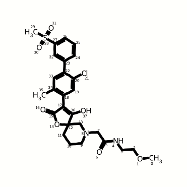 COCCNC(=O)CN1CCCC2(C1)OC(=O)C(c1cc(Cl)c(-c3cccc(S(C)(=O)=O)c3)cc1C)=C2O